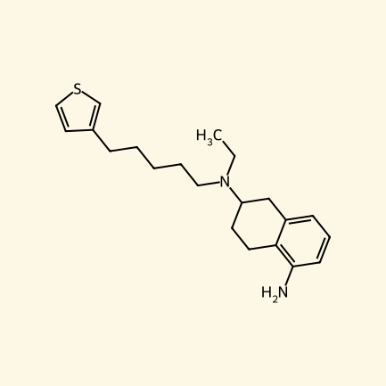 CCN(CCCCCc1ccsc1)C1CCc2c(N)cccc2C1